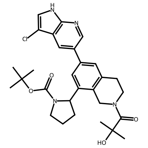 CC(C)(C)OC(=O)N1CCCC1c1cc(-c2cnc3[nH]cc(Cl)c3c2)cc2c1CN(C(=O)C(C)(C)O)CC2